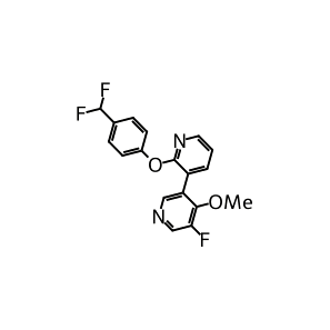 COc1c(F)cncc1-c1cccnc1Oc1ccc(C(F)F)cc1